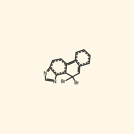 BrC1(Br)C=c2ccccc2=c2ccc3c(c21)N=CN=3